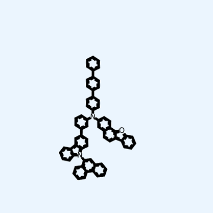 c1ccc(-c2ccc(-c3ccc(N(c4cccc(-c5ccc6c(c5)c5ccccc5n6-c5cc6ccccc6c6ccccc56)c4)c4ccc5c(ccc6c7ccccc7oc56)c4)cc3)cc2)cc1